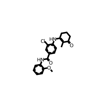 COc1ccccc1NC(=O)c1ccc(NC2=C(C)C(=O)CCC2)c(Cl)c1